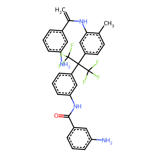 C=C(Nc1cc(C(c2cccc(NC(=O)c3cccc(N)c3)c2)(C(F)(F)F)C(F)(F)F)ccc1C)c1cccc(N)c1